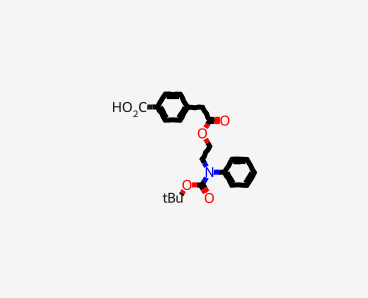 CC(C)(C)OC(=O)N(CCOC(=O)Cc1ccc(C(=O)O)cc1)c1ccccc1